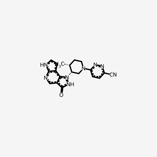 C[C@@H]1CCN(c2ccc(C#N)nn2)C[C@@H]1n1[nH]c(=O)c2cnc3[nH]ccc3c21